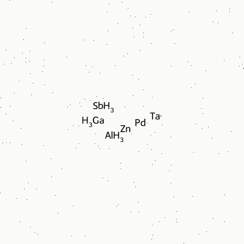 [AlH3].[GaH3].[Pd].[SbH3].[Ta].[Zn]